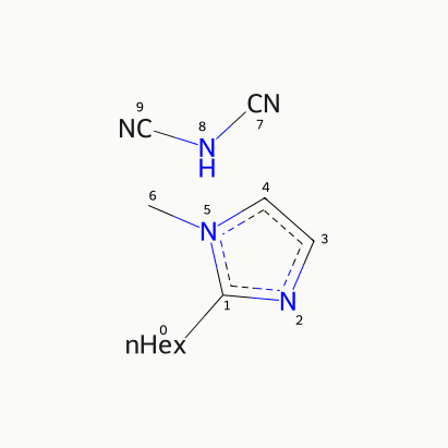 CCCCCCc1nccn1C.N#CNC#N